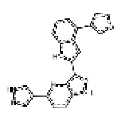 c1cc(-c2ccoc2)c2cc(-c3n[nH]c4ccc(-c5cn[nH]c5)nc34)[nH]c2c1